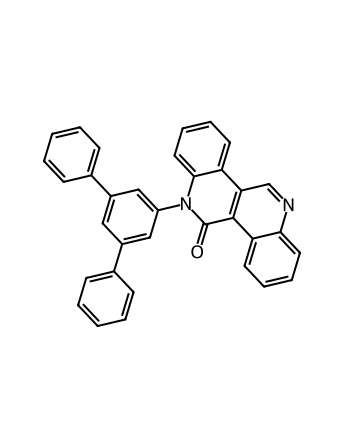 O=c1c2c3ccccc3ncc2c2ccccc2n1-c1cc(-c2ccccc2)cc(-c2ccccc2)c1